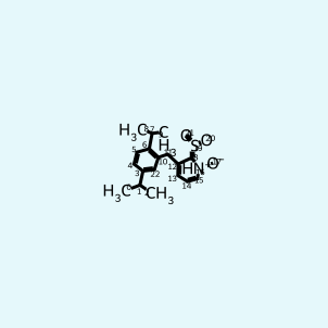 CC(C)c1ccc(C(C)C)c(CC2=CC=C[NH+]([O-])C2=S(=O)=O)c1